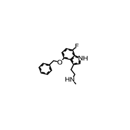 CNCCc1c[nH]c2c(F)ccc(OCc3ccccc3)c12